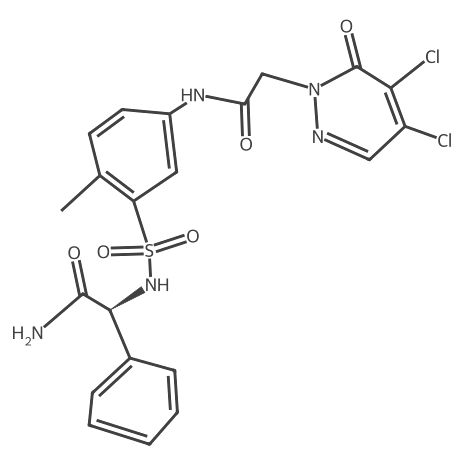 Cc1ccc(NC(=O)Cn2ncc(Cl)c(Cl)c2=O)cc1S(=O)(=O)N[C@H](C(N)=O)c1ccccc1